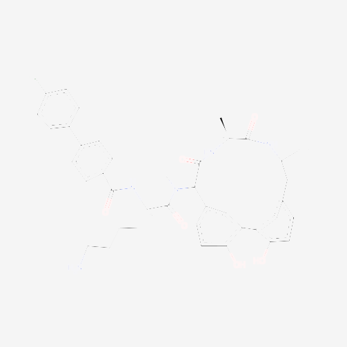 C[C@@H]1NC(=O)C(N(C)C(=O)[C@H](CCCCN)NC(=O)c2ccc(-c3ccc(Cl)cc3)cc2)c2ccc(O)c(c2)-c2cc(ccc2O)CC(C(=O)O)NC1=O